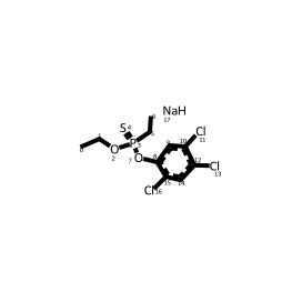 CCOP(=S)(CC)Oc1cc(Cl)c(Cl)cc1Cl.[NaH]